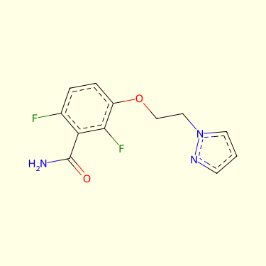 NC(=O)c1c(F)ccc(OCCn2cccn2)c1F